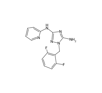 Nc1nc(Nc2ccccn2)nn1Cc1c(F)cccc1F